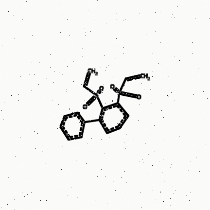 C=CS(=O)(=O)c1cccc(-c2[c]cccc2)c1S(=O)(=O)C=C